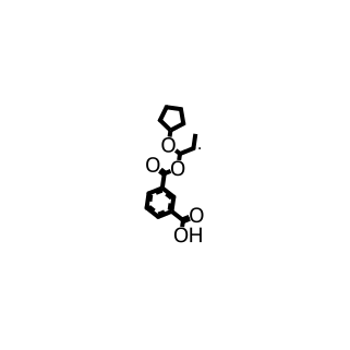 C[CH]C(OC(=O)c1cccc(C(=O)O)c1)OC1CCCC1